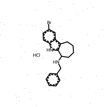 Brc1ccc2[nH]c3c(c2c1)CCCCC3NCc1ccccc1.Cl